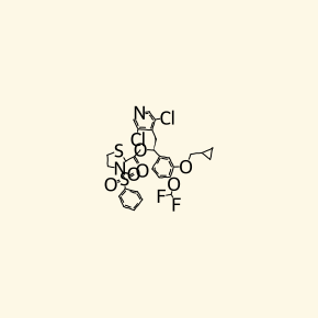 O=C(O[C@@H](Cc1c(Cl)cncc1Cl)c1ccc(OC(F)F)c(OCC2CC2)c1)C1SCCN1S(=O)(=O)c1ccccc1